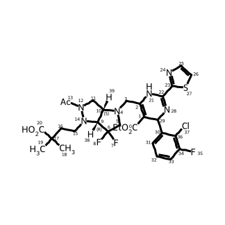 CCOC(=O)C1=C(CN2CC(F)(F)[C@H]3[C@@H]2CN(C(C)=O)N3CCC(C)(C)C(=O)O)NC(c2nccs2)=NC1c1cccc(F)c1Cl